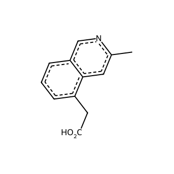 Cc1cc2c(CC(=O)O)cccc2cn1